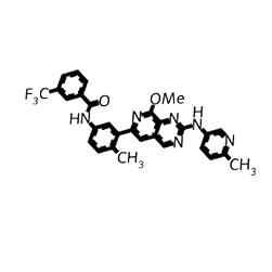 COc1nc(-c2cc(NC(=O)c3cccc(C(F)(F)F)c3)ccc2C)cc2cnc(Nc3ccc(C)nc3)nc12